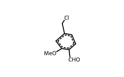 COc1cc(CCl)ccc1C=O